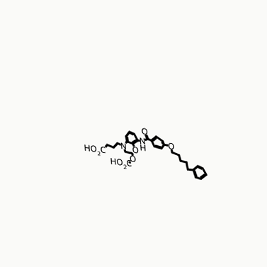 O=C(O)CCCN1CC(OC(=O)O)Oc2c(NC(=O)c3ccc(OCCCCCc4ccccc4)cc3)cccc21